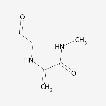 C=C(NCC=O)C(=O)NC